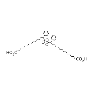 O=C(O)CCCCCCCCCCCCCC(C(=O)OC(=O)C(CCCCCCCCCCCCCC(=O)O)c1ccccc1)c1ccccc1